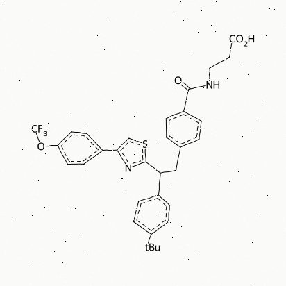 CC(C)(C)c1ccc(C(Cc2ccc(C(=O)NCCC(=O)O)cc2)c2nc(-c3ccc(OC(F)(F)F)cc3)cs2)cc1